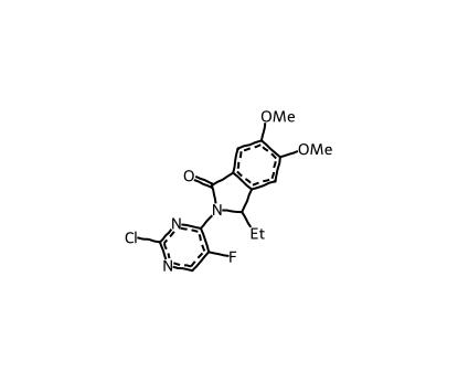 CCC1c2cc(OC)c(OC)cc2C(=O)N1c1nc(Cl)ncc1F